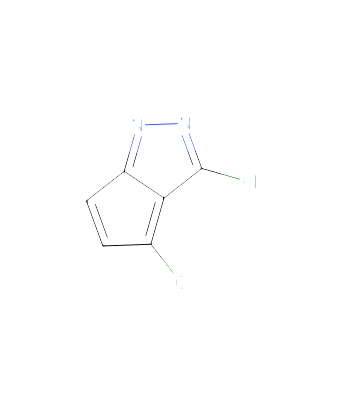 ClC1=NN=C2C=CC(Cl)=C12